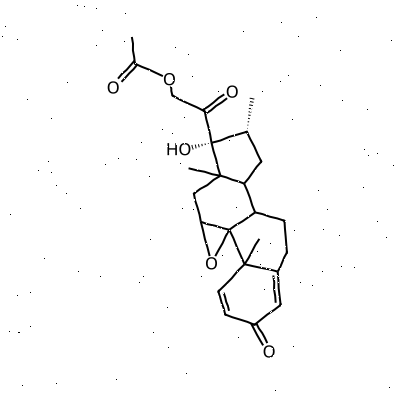 CC(=O)OCC(=O)[C@@]1(O)[C@H](C)CC2C3CCC4=CC(=O)C=CC4(C)C34OC4CC21C